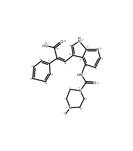 CN1CCN(C(=O)Nc2ccnc3[nH]cc(C=C(C(=O)O)c4ccccc4)c23)CC1